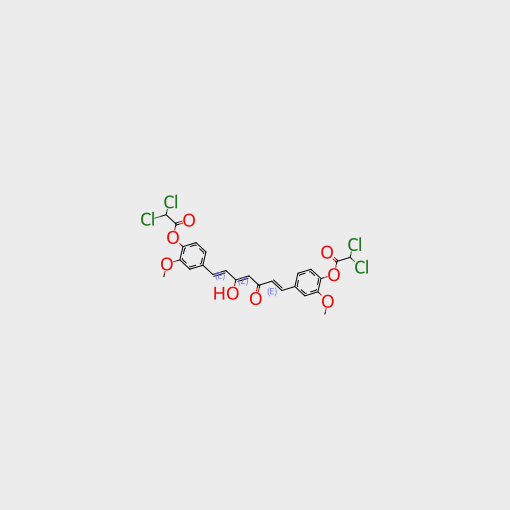 COc1cc(/C=C/C(=O)/C=C(O)/C=C/c2ccc(OC(=O)C(Cl)Cl)c(OC)c2)ccc1OC(=O)C(Cl)Cl